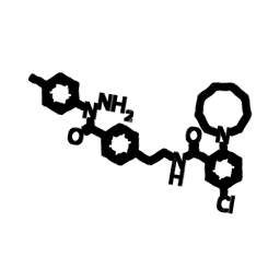 Cc1ccc(N(N)C(=O)c2ccc(CCNC(=O)c3cc(Cl)ccc3N3CCCCCCCC3)cc2)cc1